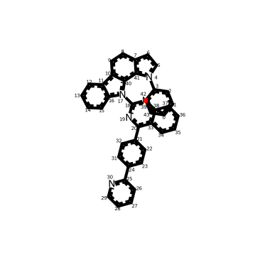 c1ccc(-n2ccc3ccc4c5ccccc5n(-c5nc(-c6ccc(-c7ccccn7)cc6)c6ccccc6n5)c4c32)cc1